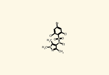 CCN(c1c(C)nn(C)c1C)S(=O)(=O)c1c(Cl)cc(Br)cc1Cl